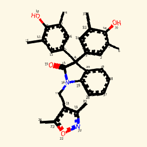 Cc1cc(C2(c3cc(C)c(O)c(C)c3)C(=O)N(Cc3c(C)noc3C)c3ccccc32)cc(C)c1O